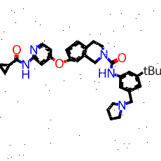 CC(C)(C)c1cc(CN2CCCC2)cc(NC(=O)N2CCc3ccc(Oc4ccnc(NC(=O)C5CC5)c4)cc3C2)c1